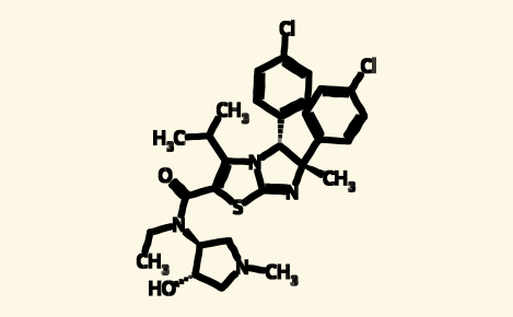 CCN(C(=O)C1=C(C(C)C)N2C(=N[C@@](C)(c3ccc(Cl)cc3)[C@H]2c2ccc(Cl)cc2)S1)[C@H]1CN(C)C[C@@H]1O